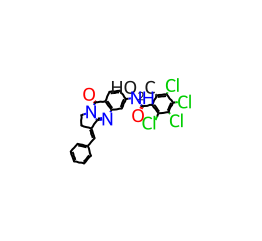 O=C(O)c1c(Cl)c(Cl)c(Cl)c(Cl)c1C(=O)Nc1ccc2c(=O)n3c(nc2c1)/C(=C/c1ccccc1)CC3